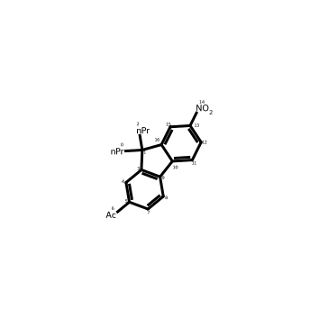 CCCC1(CCC)c2cc(C(C)=O)ccc2-c2ccc([N+](=O)[O-])cc21